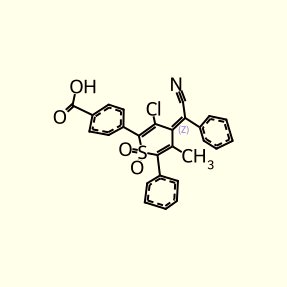 CC1=C(c2ccccc2)S(=O)(=O)C(c2ccc(C(=O)O)cc2)=C(Cl)/C1=C(\C#N)c1ccccc1